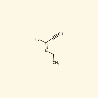 C#C/C(S)=N\CC